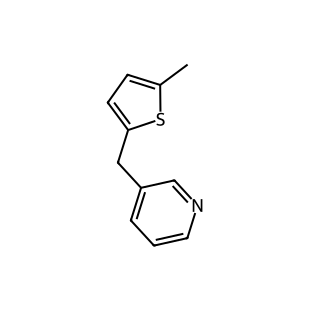 Cc1ccc(Cc2cccnc2)s1